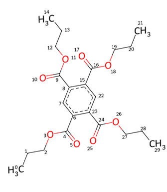 CCCOC(=O)c1cc(C(=O)OCCC)c(C(=O)OCCC)cc1C(=O)OCCC